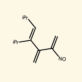 C=C(N=O)C(=C)/C(=C/C(C)C)C(C)C